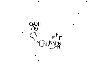 O=S(=O)(O)Cc1ccc(CN2CCN(c3ccc4nnc(C(F)(F)F)n4n3)CC2)cc1